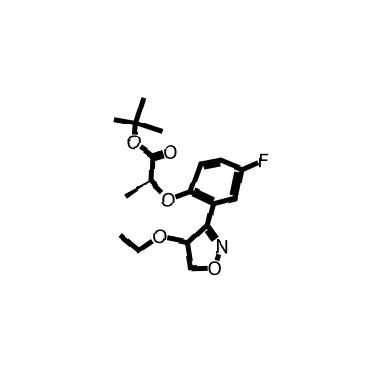 CCOC1CON=C1c1cc(F)ccc1O[C@@H](C)C(=O)OC(C)(C)C